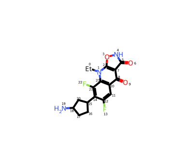 CCn1c2o[nH]c(=O)c2c(=O)c2cc(F)c(C3CCC(N)C3)c(F)c21